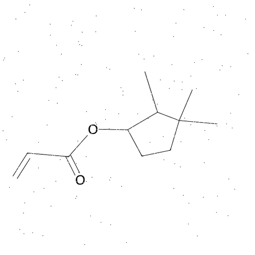 C=CC(=O)OC1CCC(C)(C)C1C